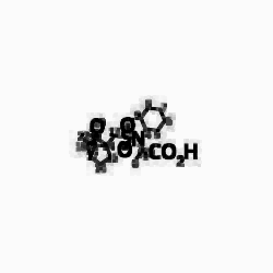 C[C@@H](C(=O)O)N(C1CCCCC1)S(=O)(=O)CC12CCC(CC1=O)C2(C)C